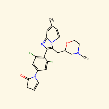 Cc1ccn2c(CC3CN(C)CCO3)c(-c3c(F)cc(N4C=CCC4=O)cc3F)nc2c1